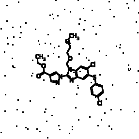 CCOC(=O)c1cnn(-c2nc3cc(Sc4ccc(Cl)cc4)c(Cl)cc3n2COCCOC)c1